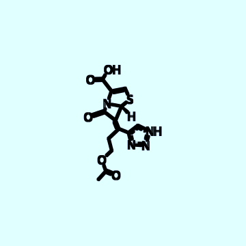 CC(=O)OCC/C(=C1\C(=O)N2C(C(=O)O)=CS[C@H]12)c1c[nH]nn1